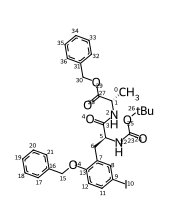 C[C@H](NC(=O)[C@H](Cc1cc(I)ccc1OCc1ccccc1)NC(=O)OC(C)(C)C)C(=O)OCc1ccccc1